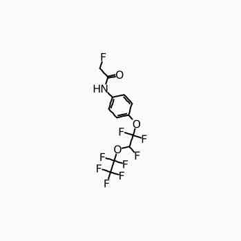 O=C(CF)Nc1ccc(OC(F)(F)C(F)OC(F)(F)C(F)(F)F)cc1